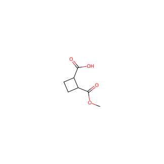 COC(=O)C1CCC1C(=O)O